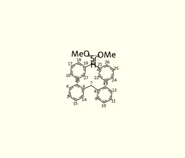 CO[SiH2]OC.c1ccc(Cc2ccccc2)cc1.c1ccc(Cc2ccccc2)cc1